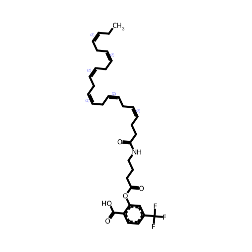 CC/C=C\C/C=C\C/C=C\C/C=C\C/C=C\C/C=C\CCC(=O)NCCCC(=O)Oc1cc(C(F)(F)F)ccc1C(=O)O